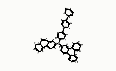 c1ccc(-c2ccc(-c3ccc(N(c4ccc5c(ccc6ccccc65)c4)c4ccc5c6ccccc6c6ccccc6c5c4)cc3)cc2)cc1